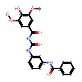 CCOc1cc(C(=O)NC(=O)Nc2cccc(NC(=O)c3ccccc3)c2)cc(OCC)c1O